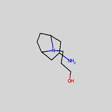 NC1CC2CCC(C1)N2CCCO